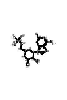 Nc1nc(F)cc2c1ncn2C1OC(COP(=O)(O)O)CC(O)C1O